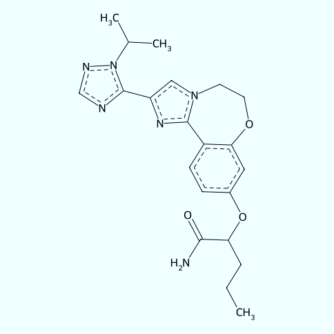 CCCC(Oc1ccc2c(c1)OCCn1cc(-c3ncnn3C(C)C)nc1-2)C(N)=O